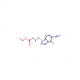 CCOC(=O)CCCn1ncc2c(C)c(C#N)ccc21